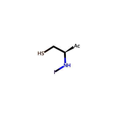 CC(=O)[C@H](CS)NI